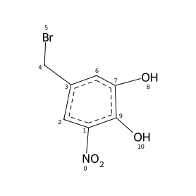 O=[N+]([O-])c1cc(CBr)cc(O)c1O